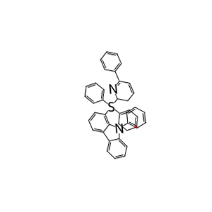 C1=CCCC(S(c2ccccc2)(c2cccc3c4ccccc4n(-c4ccccc4)c23)C2CC=CC(c3ccccc3)=N2)=C1